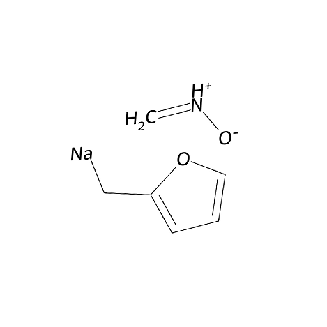 C=[NH+][O-].[Na][CH2]c1ccco1